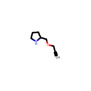 C#CCOCC1CCCN1